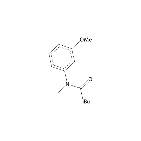 CCC(C)C(=O)N(C)c1cccc(OC)c1